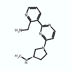 CN[C@@H]1CCN(c2ccnc(-c3cccnc3CN)n2)C1